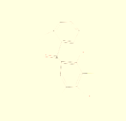 O=C(O)c1ccccc1C(=O)c1cc(F)c(O)c(F)c1O